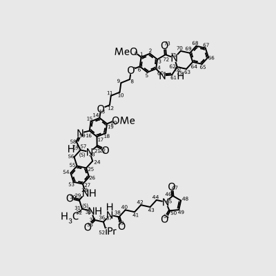 COc1cc2c(cc1OCCCCCOc1cc3c(cc1OC)C(=O)N1Cc4cc(NC(=O)[C@H](C)NC(=O)C(NC(=O)CCCCCN5C(=O)C=CC5=O)C(C)C)ccc4C[C@H]1C=N3)N=C[C@@H]1Cc3ccccc3CN1C2=O